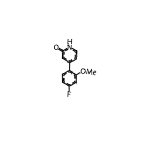 COc1cc(F)ccc1-c1cc[nH]c(=O)c1